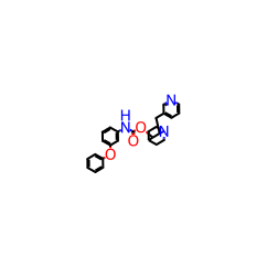 O=C(Nc1cccc(Oc2ccccc2)c1)OC1C2CCN(CC2)C1Cc1cccnc1